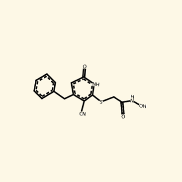 N#Cc1c(Cc2ccccc2)cc(=O)[nH]c1SCC(=O)NO